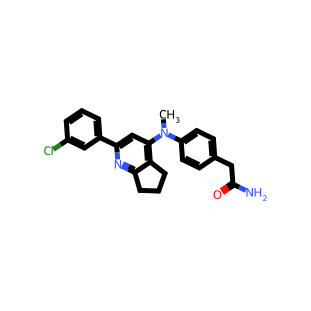 CN(c1ccc(CC(N)=O)cc1)c1cc(-c2cccc(Cl)c2)nc2c1CCC2